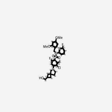 COc1ccc(CN(c2cccc(F)n2)S(=O)(=O)c2c(F)cc(N3CCC4(CC(CO)C4)C3)c(Cl)c2F)c(OC)c1